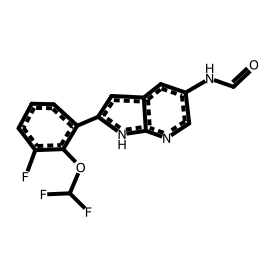 O=CNc1cnc2[nH]c(-c3cccc(F)c3OC(F)F)cc2c1